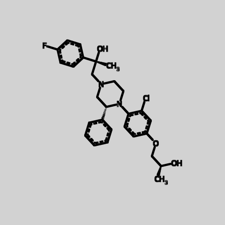 C[C@H](O)COc1ccc(N2CCN(C[C@@](C)(O)c3ccc(F)cc3)C[C@H]2c2ccccc2)c(Cl)c1